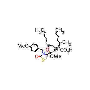 C=CCCC[C@@H]1C[C@@H](C(C(=O)O)=C(C)CCC=C)C[C@](OC)([C@@H]2CSC(=O)N2Cc2ccc(OC)cc2)O1